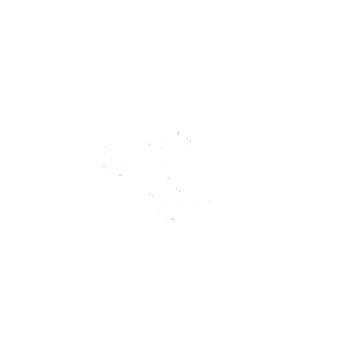 CC1(C)C2=C(C3=C(C=CCC3)CC2)c2ccc3c4ccccc4n(-c4cc(C#N)c(-n5c6c(c7ccc8c(c75)C(C)(C)c5ccc7ccccc7c5-8)CCC=C6)cc4C#N)c3c21